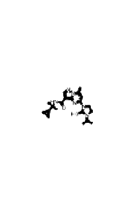 Cc1cc(N2CCN(C(C)C)C2O)nc2c(C(=O)NC(C)(C)C3CC3)cnn12